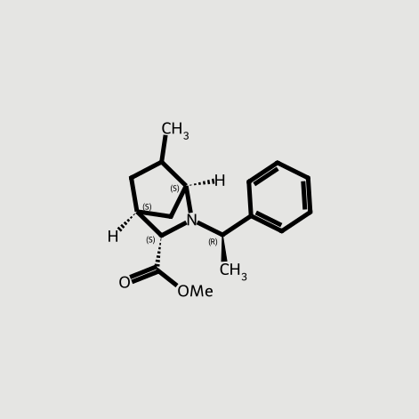 COC(=O)[C@@H]1[C@H]2CC(C)[C@H](C2)N1[C@H](C)c1ccccc1